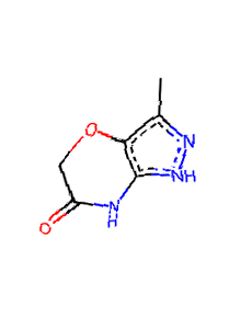 Cc1n[nH]c2c1OCC(=O)N2